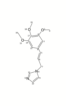 COc1cc(/C=C/Cn2ccnc2)cc(OC)c1OC